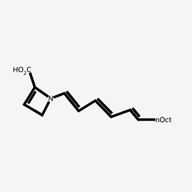 CCCCCCCCC=CC=CC=CN1CC=C1C(=O)O